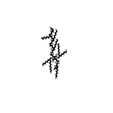 CCCCCCCCC(CCCCCC)CN1C(=O)C2=C(c3cnc(-c4cc(CCCCCC)c(-c5ccc(-c6cc(CCCCCC)c(-c7sc(-c8ccc(C)s8)cc7CCCCCC)s6)s5)s4)s3)N(CC(CCCCCC)CCCCCCCC)C(=O)C2=C1c1cnc(-c2cc(CCCCCC)c(C)s2)s1